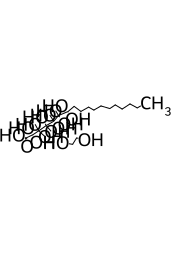 CCCCCCCCCCCC(O)(O)C(O)(O)C(O)(O)C(O)(O)C(O)(O)C(O)(O)C(=O)O.OCCO